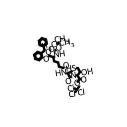 CC(C)(C)OC(=O)NC(CCCC(=O)N[C@@H]1C(=O)N2C(C(=O)OCC(Cl)(Cl)Cl)C(O)CS[C@@H]12)C(=O)OC(c1ccccc1)c1ccccc1